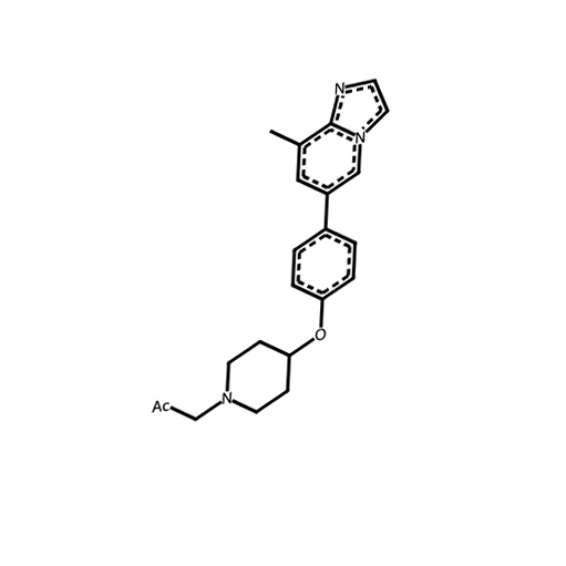 CC(=O)CN1CCC(Oc2ccc(-c3cc(C)c4nccn4c3)cc2)CC1